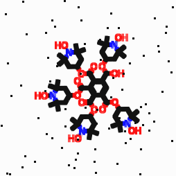 CC1(C)CC(OC(=O)c2cc(C(O)OC3CC(C)(C)N(O)C(C)(C)C3)c(C(=O)OC3CC(C)(C)N(O)C(C)(C)C3)c(C(=O)OC3CC(C)(C)N(O)C(C)(C)C3)c2C(=O)OC2CC(C)(C)N(O)C(C)(C)C2)CC(C)(C)N1O